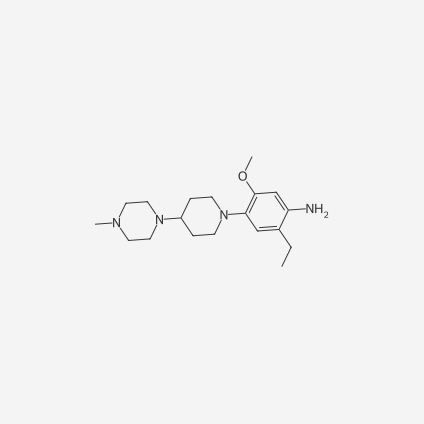 CCc1cc(N2CCC(N3CCN(C)CC3)CC2)c(OC)cc1N